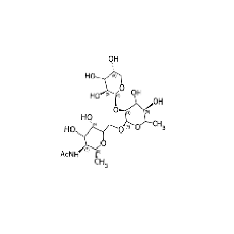 CC(=O)N[C@H]1C(O)[C@H](O)C(CO[C@@H]2OC(C)[C@H](O)C(O)[C@@H]2O[C@@H]2OC[C@@H](O)C(O)[C@@H]2O)O[C@H]1C